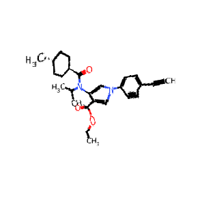 C#Cc1ccc(-n2cc(C(=O)OCC)c(N(C(=O)[C@H]3CC[C@H](C)CC3)C(C)C)c2)cc1